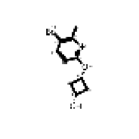 Cc1nc(O[C@H]2C[C@@H](O)C2)ccc1Br